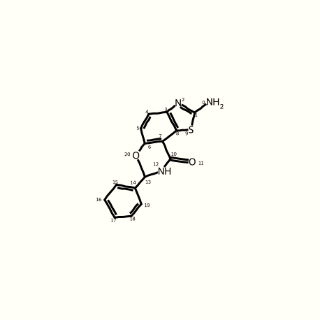 Nc1nc2ccc3c(c2s1)C(=O)NC(c1ccccc1)O3